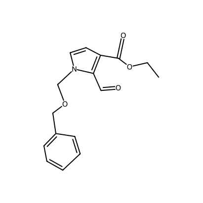 CCOC(=O)c1ccn(COCc2ccccc2)c1C=O